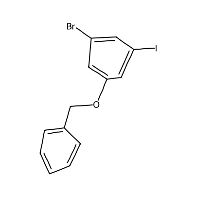 Brc1cc(I)cc(OCc2ccccc2)c1